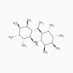 C[C@@H]1[C@@H](C)[C@@H](C)[C@H](N(C)[C@H]2[C@H](C)[C@H](C)[C@@H](C)[C@@H](C)[C@@H]2C)[C@@H](C)[C@@H]1C